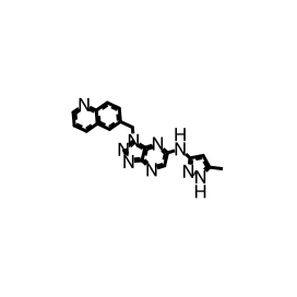 Cc1cc(Nc2cnc3nnn(Cc4ccc5ncccc5c4)c3n2)n[nH]1